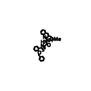 COCc1cc2ccccc2nc1NNC(=O)c1csc(-c2ccccc2OCc2ccccc2)n1